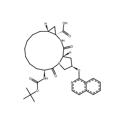 CC(C)(C)OC(=O)N[C@H]1CCCCCCC[C@@H]2C[C@@]2(C(=O)O)NC(=O)[C@@H]2C[C@@H](Oc3nccc4ccccc34)CN2C1=O